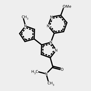 COc1ccc(-n2nc(C(=O)N(C)C)cc2-c2ccn(C)c2)nn1